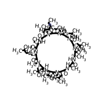 C/C=C/C[C@@H](C)C[C@H]1C(=O)N[C@@H](CC)C(=O)N(C)[C@@H](CSCC(C)O)C(=O)N(C)[C@@H](CC(C)(C)O)C(=O)N[C@H](C(C)C)C(=O)N(C)[C@H](CC(C)C)C(=O)N[C@H](C)C(=O)N[C@@H](C)C(=O)N(C)[C@@H](CC(C)C)C(=O)N(C)[C@@H](CC(C)C)C(=O)N(C)[C@@H](C(C)C)C(=O)N1C